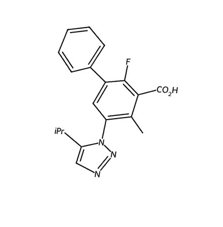 Cc1c(-n2nncc2C(C)C)cc(-c2ccccc2)c(F)c1C(=O)O